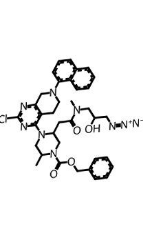 CC1CN(c2nc(Cl)nc3c2CCN(c2cccc4ccccc24)C3)C(CC(=O)N(C)CC(O)CN=[N+]=[N-])CN1C(=O)OCc1ccccc1